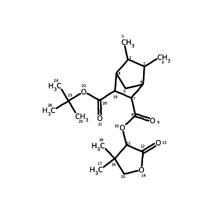 CC1C(C)C2CC1C(C(=O)OC1C(=O)OCC1(C)C)C2C(=O)OC(C)(C)C